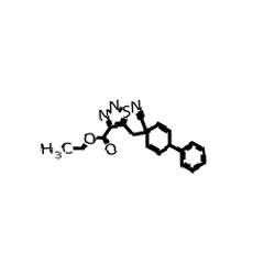 CCOC(=O)c1nnsc1CC1(C#N)C=CC(c2ccccc2)C=C1